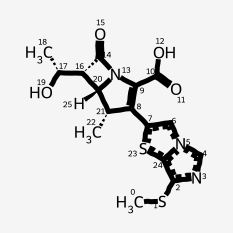 CSc1ncn2cc(C3=C(C(=O)O)N4C(=O)[C@@H]([C@@H](C)O)[C@H]4[C@H]3C)sc12